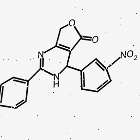 O=C1OCC2=C1C(c1cccc([N+](=O)[O-])c1)NC(c1ccccc1)=N2